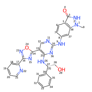 Cn1[nH]c(=O)c2ccc(Nc3ncc(-c4nc(-c5ccccn5)no4)c(N[C@H](CO)c4ccccc4)n3)cc21